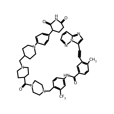 Cc1ccc(C(=O)Nc2ccc(CN3CCN(C(=O)C4CCN(CC5CCN(c6ccc(C7CCC(=O)NC7=O)cc6)CC5)CC4)CC3)c(C(F)(F)F)c2)cc1C#Cc1cnc2cccnn12